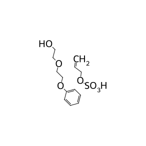 C=CCOS(=O)(=O)O.OCCOCCOc1ccccc1